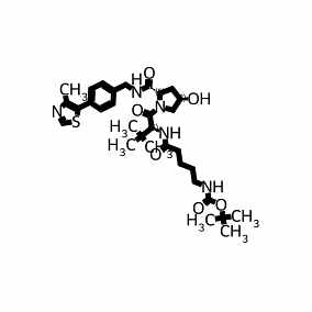 Cc1ncsc1-c1ccc(CNC(=O)[C@@H]2C[C@@H](O)CN2C(=O)[C@@H](NC(=O)CCCCNC(=O)OC(C)(C)C)C(C)(C)C)cc1